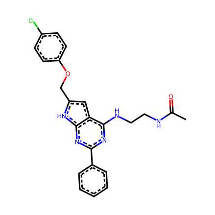 CC(=O)NCCNc1nc(-c2ccccc2)nc2[nH]c(COc3ccc(Cl)cc3)cc12